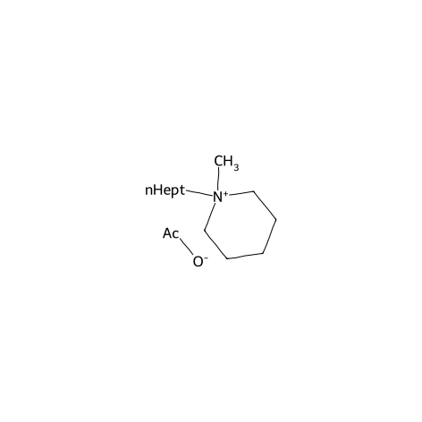 CC(=O)[O-].CCCCCCC[N+]1(C)CCCCC1